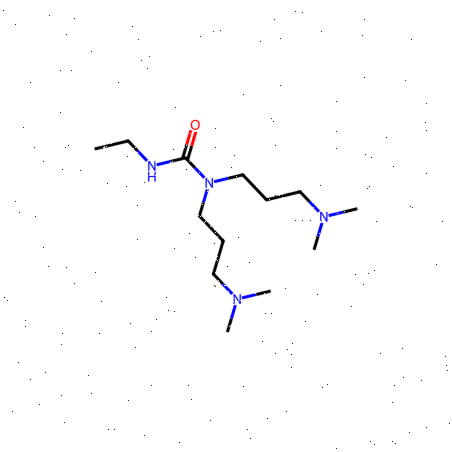 CCNC(=O)N(CCCN(C)C)CCCN(C)C